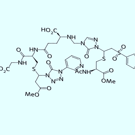 COC(=O)CC(SC[C@H](NC(=O)CC[C@H](NCn1cnn(C(CS(=O)(=O)c2ccccc2)SC[C@H](NC(C)=O)C(=O)OC)c1=O)C(=O)O)C(=O)NCC(=O)O)n1nnn(-c2cccnc2)c1=O